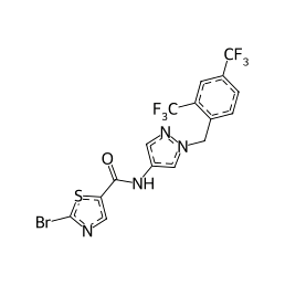 O=C(Nc1cnn(Cc2ccc(C(F)(F)F)cc2C(F)(F)F)c1)c1cnc(Br)s1